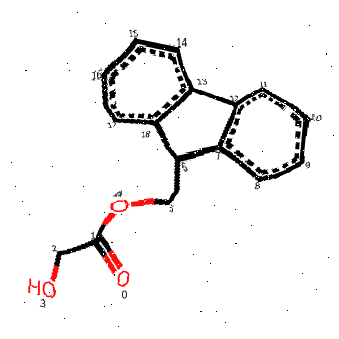 O=C(CO)OCC1c2ccccc2-c2ccccc21